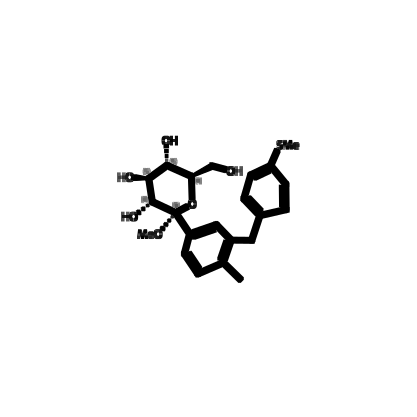 CO[C@@]1(c2ccc(C)c(Cc3ccc(SC)cc3)c2)O[C@H](CO)[C@@H](O)[C@H](O)[C@H]1O